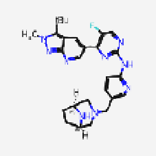 Cn1nc2ncc(-c3nc(Nc4ccc(CN5C[C@H]6CC[C@@H](C5)N6)cn4)ncc3F)cc2c1C(C)(C)C